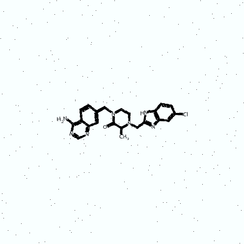 CC1C(=O)N(Cc2ccc3c(N)ncnc3c2)CCN1Cc1nc2cc(Cl)ccc2[nH]1